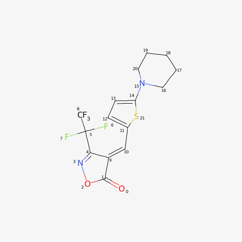 O=C1ON=C(C(F)(F)C(F)(F)F)/C1=C\c1ccc(N2CCCCC2)s1